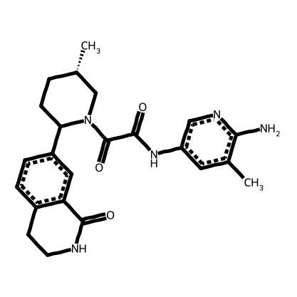 Cc1cc(NC(=O)C(=O)N2C[C@@H](C)CCC2c2ccc3c(c2)C(=O)NCC3)cnc1N